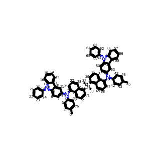 Cc1ccc(N(c2ccc3c(c2)c2ccccc2n3-c2ccccc2)c2cccc3c([Si](C)(C)c4cccc5c(N(c6ccc(C)cc6)c6ccc7c(c6)c6ccccc6n7-c6ccccc6)cccc45)cccc23)cc1